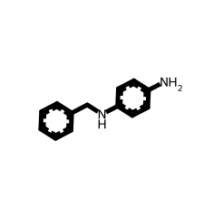 Nc1ccc(NCc2ccccc2)cc1